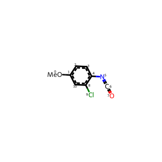 COc1ccc(N=C=O)c(Cl)c1